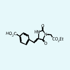 CCOC(=O)CN1C(=O)N/C(=C\c2ccc(C(=O)O)cc2)C1=O